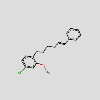 COc1cc(Cl)ccc1CCCC/C=C/c1ccccc1